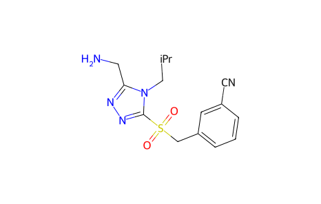 CC(C)Cn1c(CN)nnc1S(=O)(=O)Cc1cccc(C#N)c1